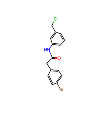 O=C(Cc1ccc(Br)cc1)Nc1cccc(CCl)c1